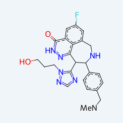 CNCc1ccc(C2NCc3cc(F)cc4c(=O)[nH]nc(c34)C2c2ncnn2CCCO)cc1